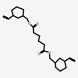 C=CC1CCCC(COC(=O)CCCCC(=O)OCC2CCCC(C=C)C2)C1